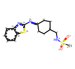 CCS(=O)(=O)NCC1CCC(=Nc2nc3ccccc3s2)CC1